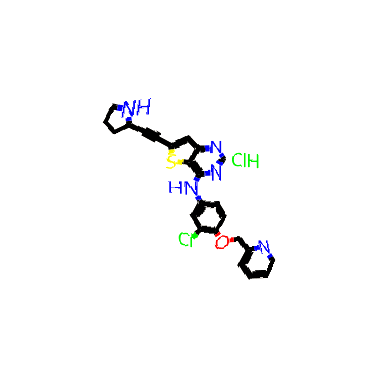 Cl.Clc1cc(Nc2ncnc3cc(C#CC4CCCN4)sc23)ccc1OCc1ccccn1